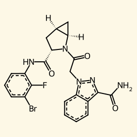 NC(=O)c1nn(CC(=O)N2[C@@H]3C[C@@H]3C[C@H]2C(=O)Nc2cccc(Br)c2F)c2ccccc12